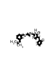 CN(C)Cc1cccc(CSCCNc2ncc(Cc3ccccc3Cl)c(=O)[nH]2)c1